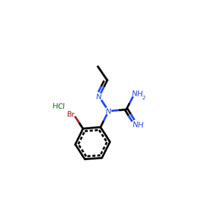 CC=NN(C(=N)N)c1ccccc1Br.Cl